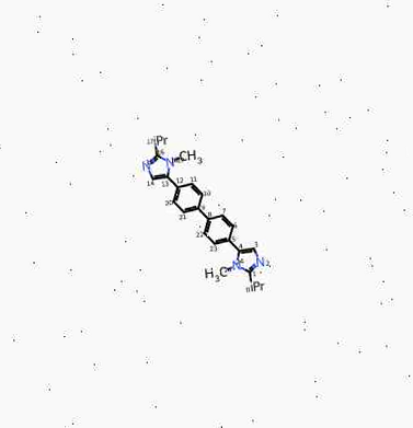 CC(C)c1ncc(-c2ccc(-c3ccc(-c4cnc(C(C)C)n4C)cc3)cc2)n1C